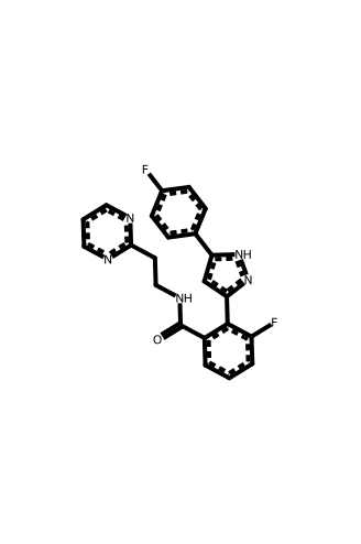 O=C(NCCc1ncccn1)c1cccc(F)c1-c1cc(-c2ccc(F)cc2)[nH]n1